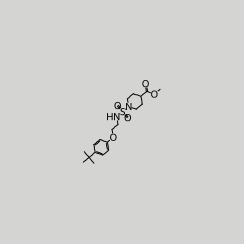 COC(=O)C1CCN(S(=O)(=O)NCCOc2ccc(C(C)(C)C)cc2)CC1